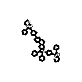 c1ccc(-c2nc3ccccn3c2-c2ccc(-n3c(-c4ccccc4)c(-c4ccccc4)c4cc5c(ccc6cc(-c7ccc(-c8nc9ncccn9c8-c8ccccc8)cc7)ccc65)cc43)cc2)cc1